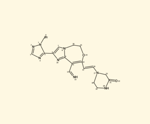 CC(C)n1ncnc1-c1cn2c(n1)C(C=N)=C(/C=C/N1CCNC(=O)C1)OCC2